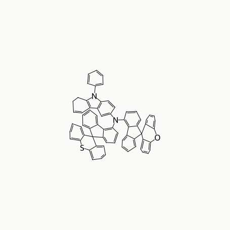 C1=Cc2c(n(-c3ccccc3)c3ccc(N(c4cccc5c4-c4ccccc4C54c5ccccc5Oc5ccccc54)c4cccc5c4-c4ccccc4C54c5ccccc5Sc5ccccc54)cc23)CC1